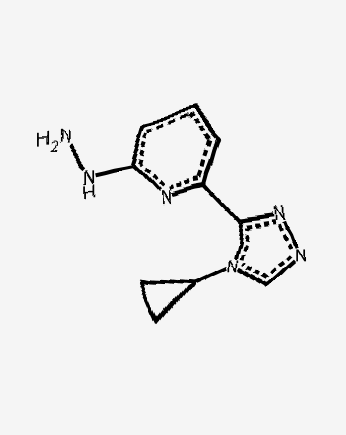 NNc1cccc(-c2nncn2C2CC2)n1